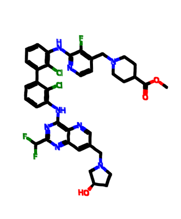 COC(=O)C1CCN(Cc2ccnc(Nc3cccc(-c4cccc(Nc5nc(C(F)F)nc6cc(CN7CC[C@@H](O)C7)cnc56)c4Cl)c3Cl)c2F)CC1